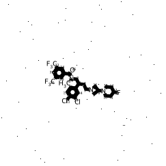 CN(CC(CCN1CC(N2CCC(F)CC2)C1)c1ccc(Cl)c(Cl)c1)C(=O)c1cc(C(F)(F)F)cc(C(F)(F)F)c1